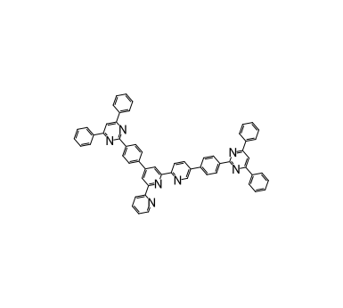 c1ccc(-c2cc(-c3ccccc3)nc(-c3ccc(-c4ccc(-c5cc(-c6ccc(-c7nc(-c8ccccc8)cc(-c8ccccc8)n7)cc6)cc(-c6ccccn6)n5)nc4)cc3)n2)cc1